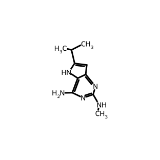 CNc1nc(N)c2[nH]c(C(C)C)cc2n1